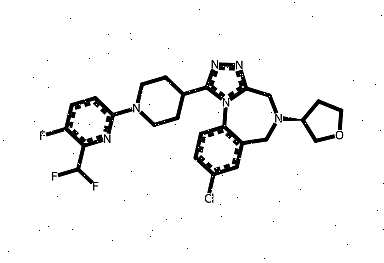 Fc1ccc(N2CCC(c3nnc4n3-c3ccc(Cl)cc3CN([C@H]3CCOC3)C4)CC2)nc1C(F)F